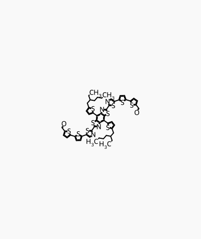 CCCCC(CC)Cc1ccc(-c2c3nc(-c4ncc(-c5ccc(-c6ccc(C=O)s6)s5)s4)sc3c(-c3ccc(CC(CC)CCCC)s3)c3nc(-c4ncc(-c5ccc(-c6ccc(C=O)s6)s5)s4)sc23)s1